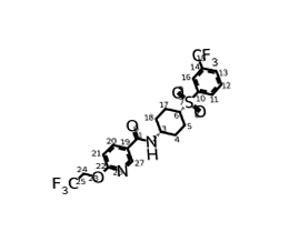 O=C(N[C@H]1CC[C@@H](S(=O)(=O)c2cccc(C(F)(F)F)c2)CC1)c1ccc(OCC(F)(F)F)nc1